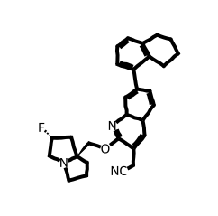 N#CCC1=CC2C=CC(c3cccc4c3CCCC4)=CC2N=C1OC[C@@]12CCCN1C[C@H](F)C2